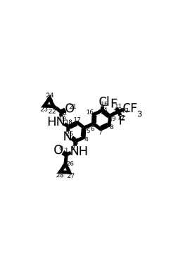 O=C(Nc1cc(-c2ccc(C(F)(F)C(F)(F)F)c(Cl)c2)cc(NC(=O)C2CC2)n1)C1CC1